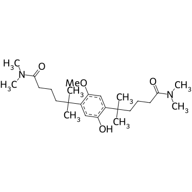 COc1cc(C(C)(C)CCCC(=O)N(C)C)c(O)cc1C(C)(C)CCCC(=O)N(C)C